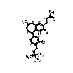 CC1CCC(c2ccc(CCC(C)(C)C)c(Cl)c2)C2NC(=O)N(CCC(=O)O)C=C2C1